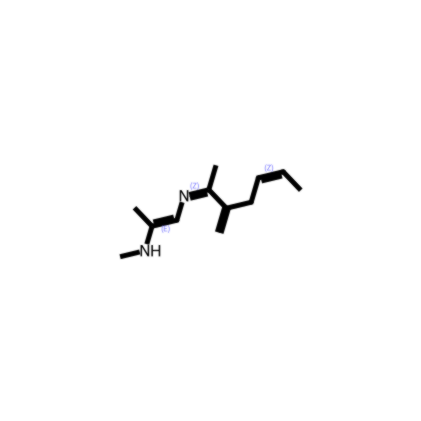 C=C(C/C=C\C)/C(C)=N\C=C(/C)NC